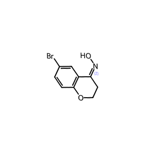 O/N=C1/CCOc2ccc(Br)cc21